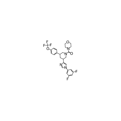 O=C(N1CCOCC1)N1CC(c2ccc(OC(F)(F)F)cc2)CC(c2cn(-c3cc(F)cc(F)c3)cn2)C1